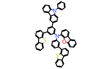 c1ccc(-n2c3ccccc3c3cc(-c4cc(-c5cccc6c5sc5ccccc56)cc(N(c5cccc(-c6cccc7c6sc6ccccc67)c5)c5cccc6c5oc5ccccc56)c4)ccc32)cc1